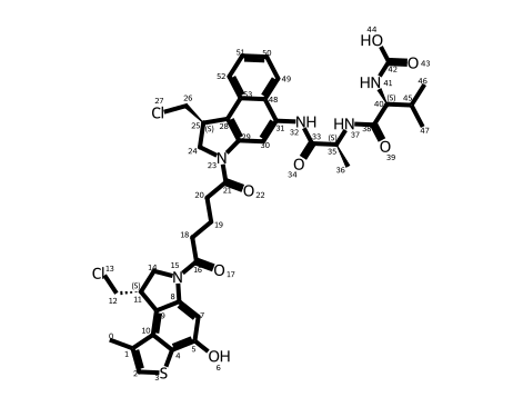 Cc1csc2c(O)cc3c(c12)[C@H](CCl)CN3C(=O)CCCC(=O)N1C[C@@H](CCl)c2c1cc(NC(=O)[C@H](C)NC(=O)[C@@H](NC(=O)O)C(C)C)c1ccccc21